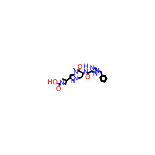 CN1C(=O)[C@@H](NC(=O)c2ncn(Cc3ccccc3)n2)CCn2nc(C3CN(C(=O)O)C3)cc21